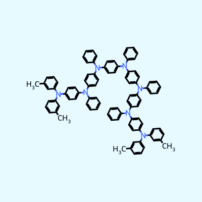 Cc1cccc(N(c2ccc(N(c3ccccc3)c3ccc(N(c4ccccc4)c4ccc(N(c5ccccc5)c5ccc(N(c6ccccc6)c6ccc(N(c7ccccc7)c7ccc(N(c8cccc(C)c8)c8cccc(C)c8)cc7)cc6)cc5)cc4)cc3)cc2)c2cccc(C)c2)c1